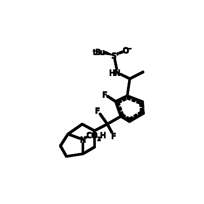 CC(N[S@+]([O-])C(C)(C)C)c1cccc(C(F)(F)C2CC3CCC(C2)N3C(=O)O)c1F